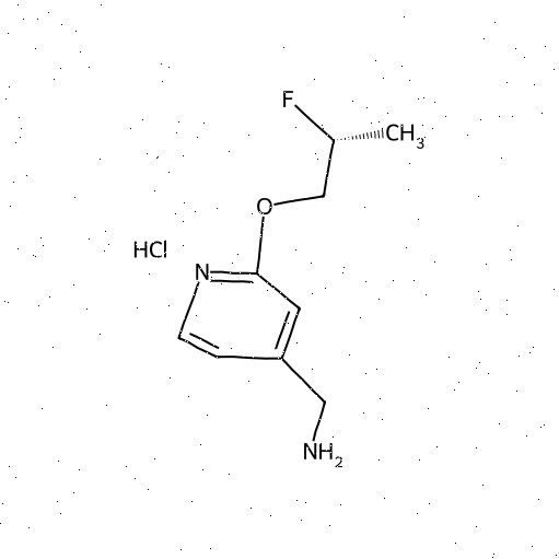 C[C@@H](F)COc1cc(CN)ccn1.Cl